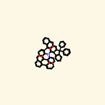 c1ccc(-c2cccc3cccc(-c4ccccc4N(c4ccccc4-c4cccc5ccccc45)c4cccc5c4-c4ccccc4C5(c4ccccc4)c4ccccc4)c23)cc1